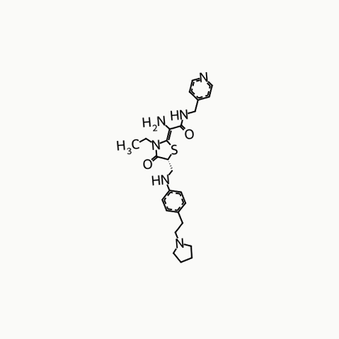 CCN1C(=O)[C@@H](CNc2ccc(CCN3CCCC3)cc2)S/C1=C(/N)C(=O)NCc1ccncc1